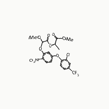 COC(=O)C(C)OC(=O)C(OC)Oc1cc(Oc2ccc(C(F)(F)F)cc2Cl)ccc1[N+](=O)[O-]